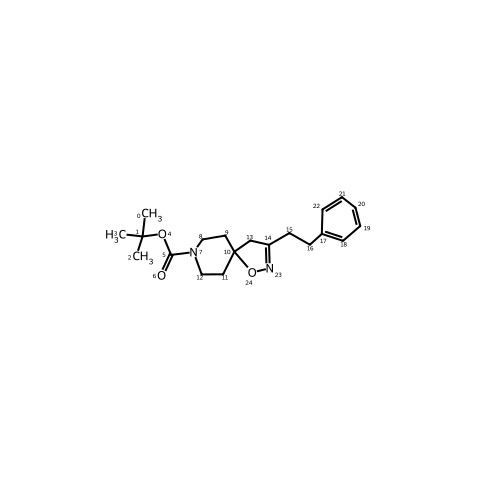 CC(C)(C)OC(=O)N1CCC2(CC1)CC(CCc1ccccc1)=NO2